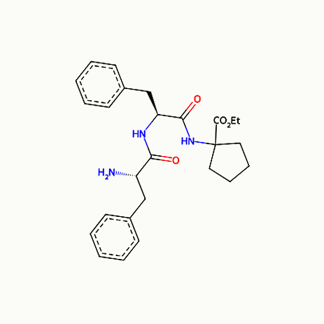 CCOC(=O)C1(NC(=O)[C@H](Cc2ccccc2)NC(=O)[C@@H](N)Cc2ccccc2)CCCC1